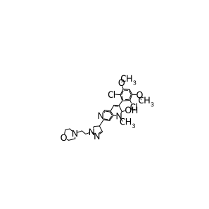 COc1cc(OC)c(Cl)c(C2=Cc3cnc(C4C=NN(CCN5CCOCC5)C4)cc3N(C)C2O)c1Cl